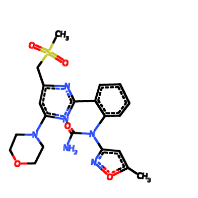 Cc1cc(N(C(N)=O)c2ccccc2-c2nc(CS(C)(=O)=O)cc(N3CCOCC3)n2)no1